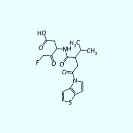 CC(C)C(CC(=O)n1ccc2sccc21)C(=O)NC(CC(=O)O)C(=O)CF